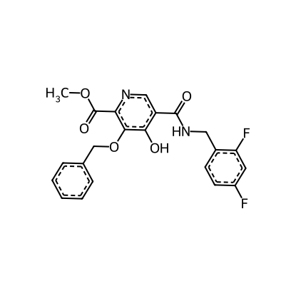 COC(=O)c1ncc(C(=O)NCc2ccc(F)cc2F)c(O)c1OCc1ccccc1